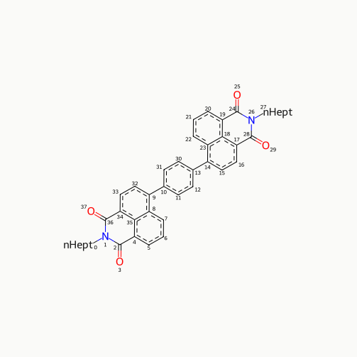 CCCCCCCN1C(=O)c2cccc3c(-c4ccc(-c5ccc6c7c(cccc57)C(=O)N(CCCCCCC)C6=O)cc4)ccc(c23)C1=O